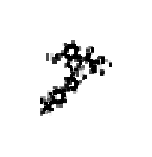 Cc1cccc(N(N)C(=O)N(C)N)c1COc1ccn(-c2cnc(C(F)(F)F)cn2)n1